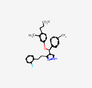 Cc1cc(OC(c2ccc(C(F)(F)F)cc2)c2c[nH]nc2CCc2ccccc2F)ccc1CCC(=O)O